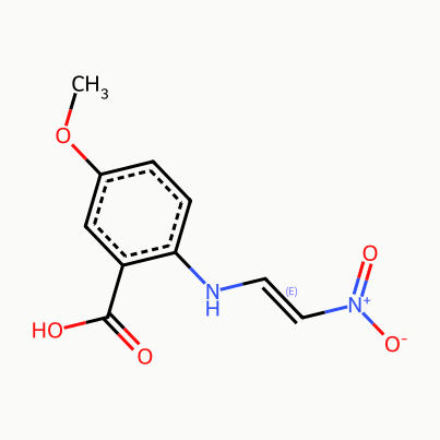 COc1ccc(N/C=C/[N+](=O)[O-])c(C(=O)O)c1